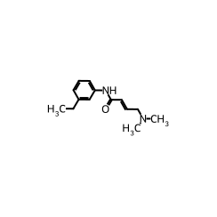 CCc1cccc(NC(=O)/C=C/CN(C)C)c1